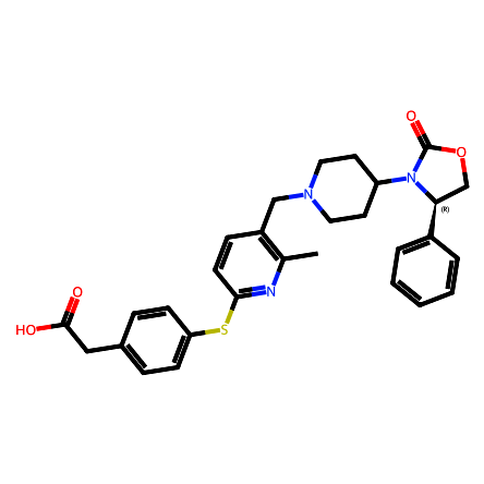 Cc1nc(Sc2ccc(CC(=O)O)cc2)ccc1CN1CCC(N2C(=O)OC[C@H]2c2ccccc2)CC1